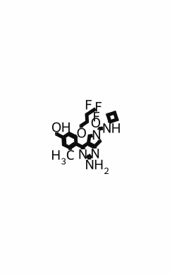 Cc1cc(CO)cc(OCCCC(F)(F)F)c1-c1nc(N)nc2c1CN(C(=O)NC1CCC1)C2